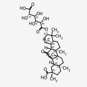 CC1(C)C2CC[C@]3(C)[C@H](C(=O)C=C4[C@H]5C[C@@](C)(C(=O)O)CC[C@]5(C)CC[C@]43C)[C@@]2(C)CC[C@@H]1OC(=O)[C@H](O)[C@@H](O)[C@H](O)[C@H](O)C(=O)O